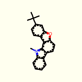 Cn1c2ccccc2c2ccc3oc4cc(C(C)(C)C)ccc4c3c21